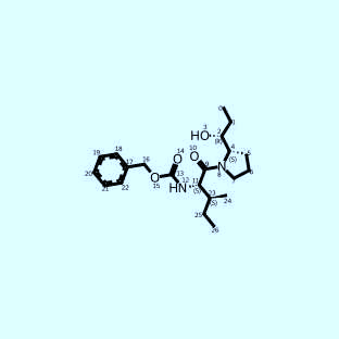 CC[C@@H](O)[C@@H]1CCCN1C(=O)[C@@H](NC(=O)OCc1ccccc1)[C@@H](C)CC